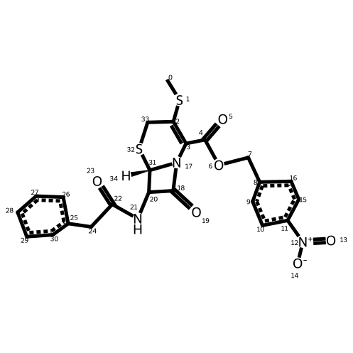 CSC1=C(C(=O)OCc2ccc([N+](=O)[O-])cc2)N2C(=O)C(NC(=O)Cc3ccccc3)[C@@H]2SC1